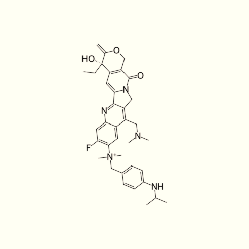 C=C1OCc2c(cc3n(c2=O)Cc2c-3nc3cc(F)c([N+](C)(C)Cc4ccc(NC(C)C)cc4)cc3c2CN(C)C)[C@@]1(O)CC